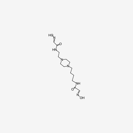 O=C(/C=N/O)NCCCCN1CCN(CCNC(=O)/C=N/O)CC1